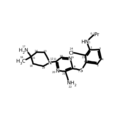 CC(C)Nc1cccc(Sc2ncc(N3CCC(C)(N)CC3)nc2N)c1Cl